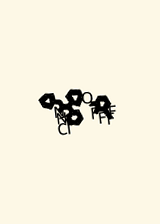 Fc1c(COc2cccc(-c3c(Cc4ccccc4)nnc4c(Cl)cccc34)c2)cccc1C(F)(F)F